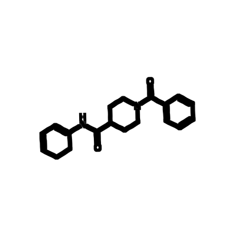 O=C(NC1=CC=CCC1)C1CCN(C(=O)c2ccccc2)CC1